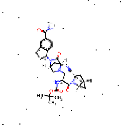 CNC(=O)c1ccc2c(c1)CC[C@@H]2N1C(=O)[C@@H]2C[C@H]1CN2C[C@H](NC(=O)OC(C)(C)C)C(=O)N1[C@H](C#N)C[C@@H]2C[C@@H]21